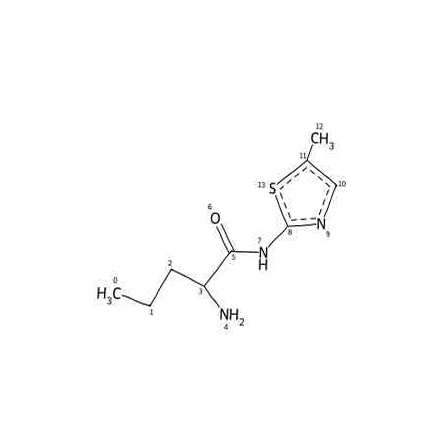 CCCC(N)C(=O)Nc1ncc(C)s1